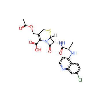 CC(=O)OCC1=C(C(=O)O)N2C(=O)[C@@H](NC(=O)C(C)Nc3ccnc4cc(Cl)ccc34)[C@H]2SC1